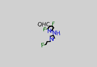 O=Cc1c(F)cc(NC2CN(CCCF)C2)nc1F